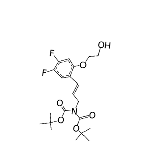 CC(C)(C)OC(=O)N(C/C=C/c1cc(F)c(F)cc1OCCO)C(=O)OC(C)(C)C